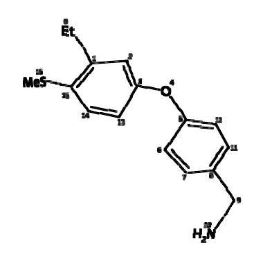 CCc1cc(Oc2ccc(CN)cc2)ccc1SC